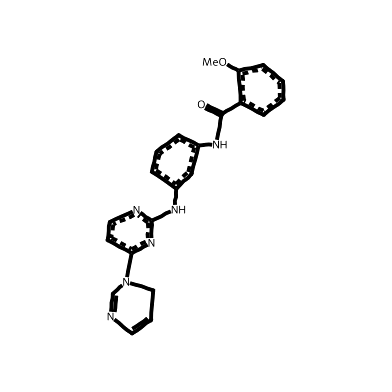 COc1ccccc1C(=O)Nc1cccc(Nc2nccc(N3C=NC=CC3)n2)c1